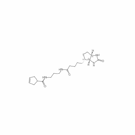 O=C(CCCC[C@@H]1SC[C@@H]2NC(=O)N[C@@H]21)NCCCNC(=O)C1CC=CC1